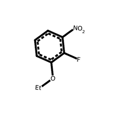 CCOc1cccc([N+](=O)[O-])c1F